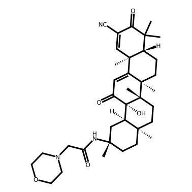 CC1(C)C(=O)C(C#N)=C[C@]2(C)C3=CC(=O)[C@]4(O)[C@@H]5C[C@@](C)(NC(=O)CN6CCOCC6)CC[C@]5(C)CC[C@@]4(C)[C@]3(C)CC[C@@H]12